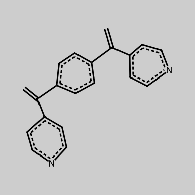 C=C(c1ccncc1)c1ccc(C(=C)c2ccncc2)cc1